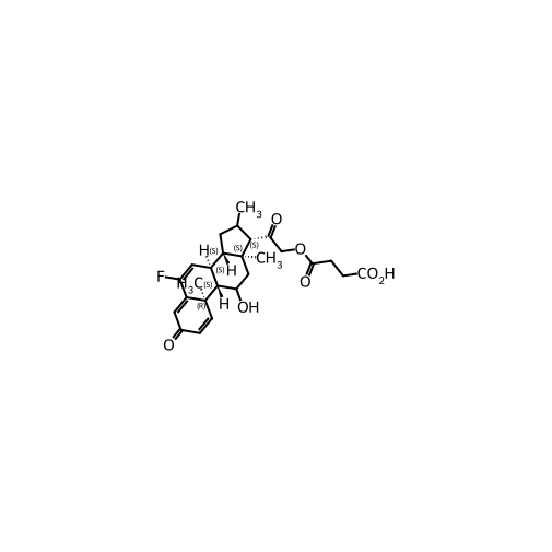 CC1C[C@H]2[C@@H]3C=C(F)C4=CC(=O)C=C[C@]4(C)[C@H]3C(O)C[C@]2(C)[C@H]1C(=O)COC(=O)CCC(=O)O